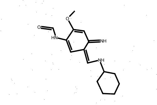 COC1=CC(=N)/C(=C\NC2CCCCC2)C=C1NC=O